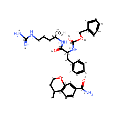 CC1CCOc2cc(C(N)=O)ccc21.N=C(N)NCCC[C@H](NC(=O)[C@H](Cc1ccccc1)NC(=O)OCc1ccccc1)C(=O)O